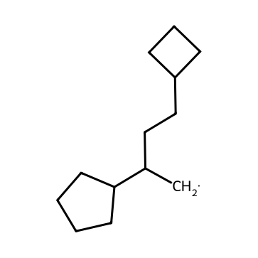 [CH2]C(CCC1CCC1)C1CCCC1